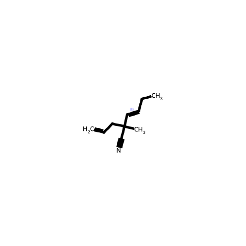 C=CCC(C)(C#N)/C=C/CC